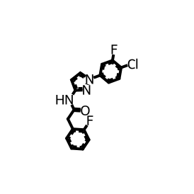 O=C(Cc1ccccc1F)Nc1ccn(-c2ccc(Cl)c(F)c2)n1